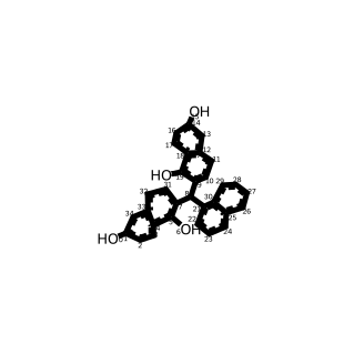 Oc1ccc2c(O)c(C(c3ccc4cc(O)ccc4c3O)c3cccc4ccccc34)ccc2c1